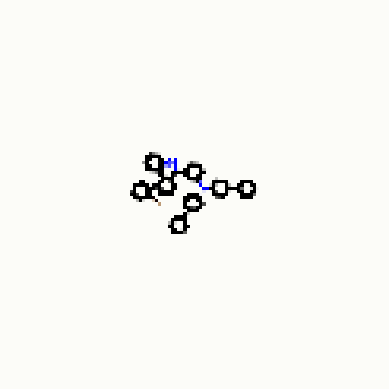 c1ccc(-c2ccc(N(c3ccc(-c4ccccc4)cc3)c3cccc(-c4nc5ccccc5c5c4ccc4sc6ccccc6c45)c3)cc2)cc1